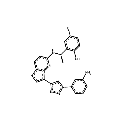 C[C@@H](Nc1ccc2ncc(-c3cn(-c4cccc(N)c4)nn3)n2n1)c1cc(F)ccc1O